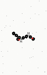 c1ccc(-c2ccc(Nc3ccc(-c4ccc(Nc5ccc(-c6ccc(-c7ccccc7)cc6)c6ccccc56)cc4)cc3)cc2)cc1